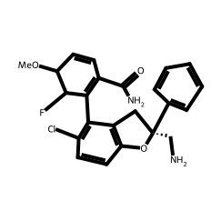 COC1C=CC(C(N)=O)=C(c2c(Cl)ccc3c2C[C@@](CN)(c2ccccc2)O3)C1F